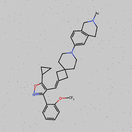 CC(=O)N1CCc2cc(N3CCC4(CC3)CC(=Cc3c(-c5ccccc5OC(F)(F)F)noc3C3CC3)C4)ccc2C1